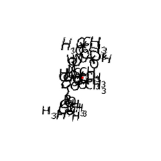 CC(C)(C)OC(=O)N[C@@H](CCC(=O)O)CC(=O)N1CC(Oc2ccc(CCB3O[C@@H]4C[C@@H]5C[C@@H](C5(C)C)[C@]4(C)O3)c(OC(=O)OC(C)(C)C)c2C(=O)OC(C)(C)C)C1